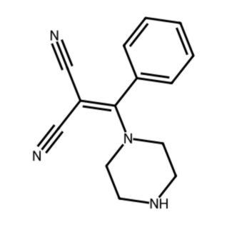 N#CC(C#N)=C(c1ccccc1)N1CCNCC1